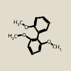 COc1cc[c]cc1-c1c(OC)cccc1OC